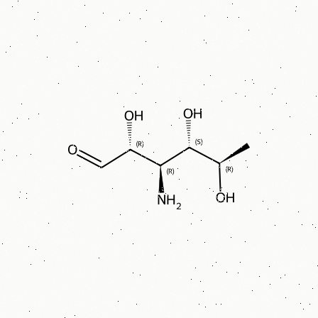 C[C@@H](O)[C@@H](O)[C@@H](N)[C@@H](O)C=O